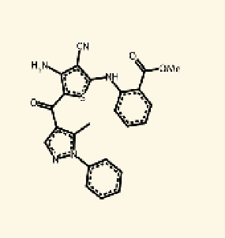 COC(=O)c1ccccc1Nc1sc(C(=O)c2cnn(-c3ccccc3)c2C)c(N)c1C#N